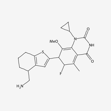 COC1=c2c(c(=O)[nH]c(=O)n2C2CC2)=C(C)C(F)C1c1cc2c(s1)CCCC2CN